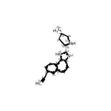 C#Cc1ccc2c(ccc3nc([C@@H]4C[C@H](C)CN4)[nH]c32)c1